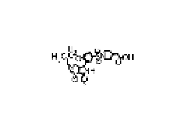 CCCN1CC2=C(C(=O)NC2c2cc(S(=O)(=O)N3CCC(CC(=O)O)CC3)ccc2OCC)N(C)C1